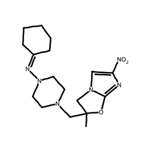 CC1(CN2CCN(N=C3CCCCC3)CC2)Cn2cc([N+](=O)[O-])nc2O1